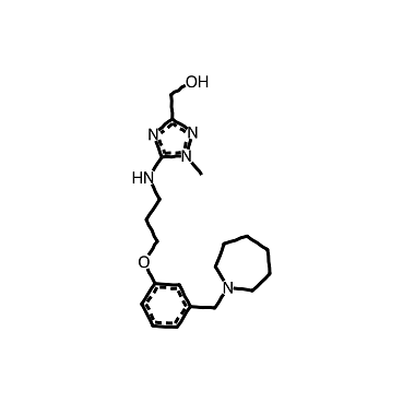 Cn1nc(CO)nc1NCCCOc1cccc(CN2CCCCCC2)c1